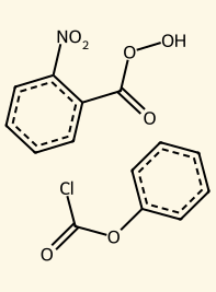 O=C(Cl)Oc1ccccc1.O=C(OO)c1ccccc1[N+](=O)[O-]